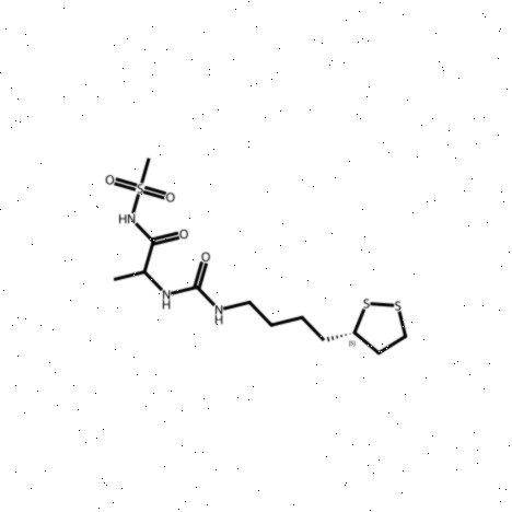 CC(NC(=O)NCCCC[C@H]1CCSS1)C(=O)NS(C)(=O)=O